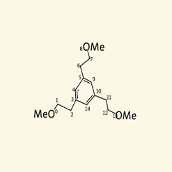 COCCc1[c]c(CCOC)cc(CCOC)c1